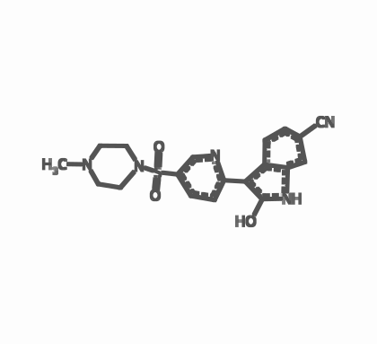 CN1CCN(S(=O)(=O)c2ccc(-c3c(O)[nH]c4cc(C#N)ccc34)nc2)CC1